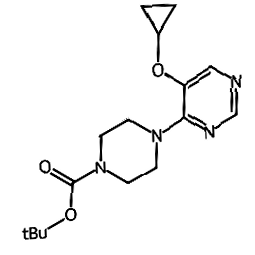 CC(C)(C)OC(=O)N1CCN(c2ncncc2OC2CC2)CC1